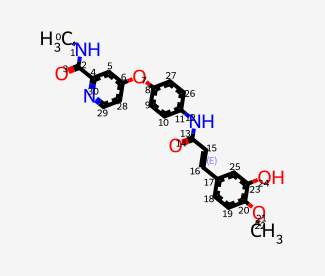 CNC(=O)c1cc(Oc2ccc(NC(=O)/C=C/c3ccc(OC)c(O)c3)cc2)ccn1